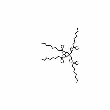 CCCCCCCC(=O)OCC(COC(=O)CCCCCCC)(COC(=O)CCCCCCC)COC(=O)CCCCCCC